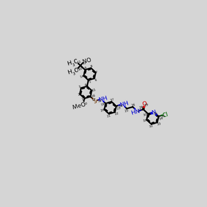 COc1ccc(-c2cccc(C(C)(C)N=O)c2)cc1SNc1cccc(NCCNC(=O)c2cccc(Cl)n2)c1